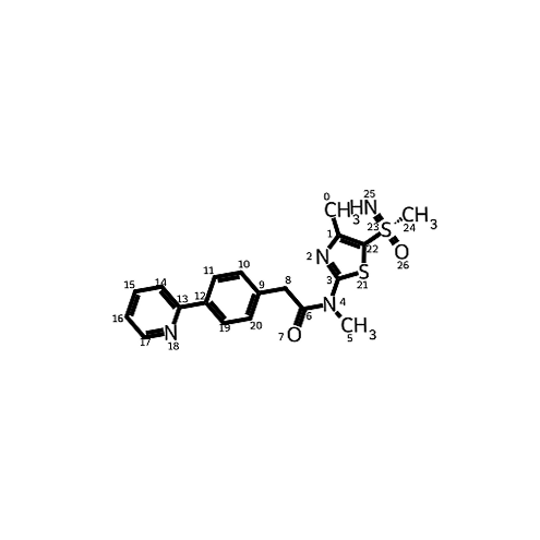 Cc1nc(N(C)C(=O)Cc2ccc(-c3ccccn3)cc2)sc1[S@@](C)(=N)=O